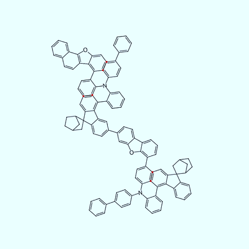 c1ccc(-c2ccc(N(c3ccc(-c4cccc5c4oc4cc(-c6ccc7c(c6)-c6c(-c8ccccc8N(c8ccc(-c9ccccc9)cc8)c8ccccc8-c8cccc9oc%10c%11ccccc%11ccc%10c89)cccc6C76CC7CCC6C7)ccc45)cc3)c3ccccc3-c3cccc4c3-c3ccccc3C43CC4CCC3C4)cc2)cc1